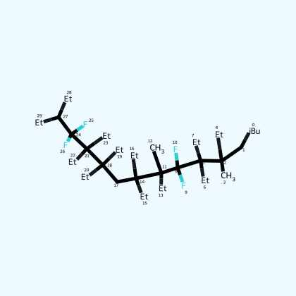 CCC(C)CC(C)(CC)C(CC)(CC)C(F)(F)C(C)(CC)C(CC)(CC)CC(CC)(CC)C(CC)(CC)C(F)(F)C(CC)CC